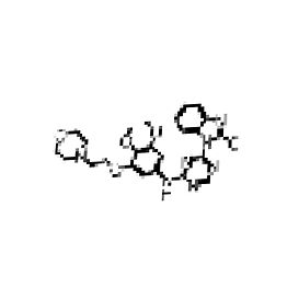 COc1cc(Nc2ncnc(-n3c(Cl)nc4ccccc43)n2)cc(OCCN2CCOCC2)c1OC